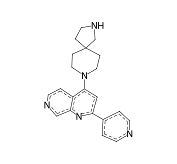 c1cc(-c2cc(N3CCC4(CCNC4)CC3)c3ccncc3n2)ccn1